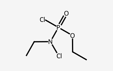 CCOP(=O)(Cl)N(Cl)CC